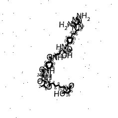 CC(C)[C@H](NC(=O)CCCCCN1C(=O)C=CC1O)C(=O)N[C@@H](C)C(=O)Nc1ccc(C(=O)NCCC[C@H](NC(=O)c2ccc(CCc3cnc4nc(N)nc(N)c4n3)cc2)C(=O)O)cc1